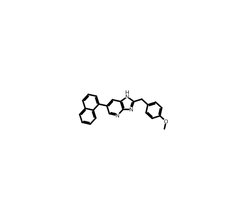 COc1ccc(Cc2nc3ncc(-c4cccc5ccccc45)cc3[nH]2)cc1